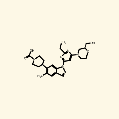 CCc1nc(N2CCO[C@H](CO)C2)cc(-n2ncc3cc(C)c(C4CCN(C(=O)O)CC4)cc32)n1